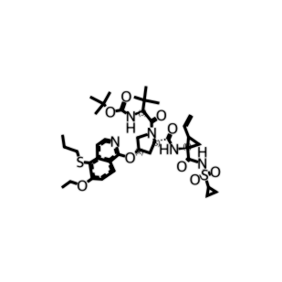 C=CC1C[C@]1(NC(=O)[C@@H]1C[C@@H](Oc2nccc3c(SCCC)c(OCC)ccc23)CN1C(=O)[C@@H](NC(=O)OC(C)(C)C)C(C)(C)C)C(=O)NS(=O)(=O)C1CC1